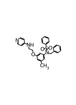 Cc1cc(OCCNc2ccncc2)cc(N(Cc2ccccc2)S(=O)(=O)c2ccccc2)c1